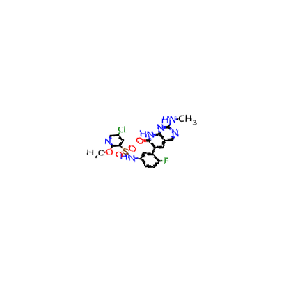 CNc1ncc2cc(-c3cc(NS(=O)(=O)c4cc(Cl)cnc4OC)ccc3F)c(=O)[nH]c2n1